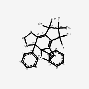 FC1(F)C2=C3C=CSC3(c3ccccc3)C3(c4ccccc4)SCCC3=C2C(F)(F)C1(F)F